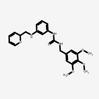 COc1cc(CNC(=S)Nc2cccc(NCC3C=CC=CO3)c2)cc(OC)c1OC